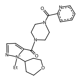 CC[N+]1(C2CCOCC2)N=CC=C1C(=O)N1CCN(C(=O)c2ccccn2)CC1